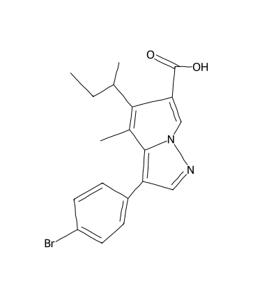 CCC(C)c1c(C(=O)O)cn2ncc(-c3ccc(Br)cc3)c2c1C